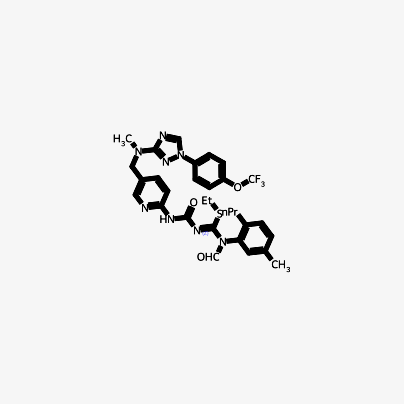 CCCc1ccc(C)cc1N(C=O)/C(=N/C(=O)Nc1ccc(CN(C)c2ncn(-c3ccc(OC(F)(F)F)cc3)n2)cn1)SCC